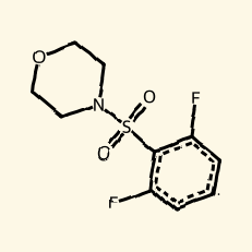 O=S(=O)(c1c(F)c[c]cc1F)N1CCOCC1